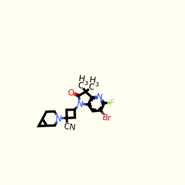 CC1(C)C(=O)N(C2CC(C#N)(N3CCC4CC4C3)C2)c2cc(Br)c(F)nc21